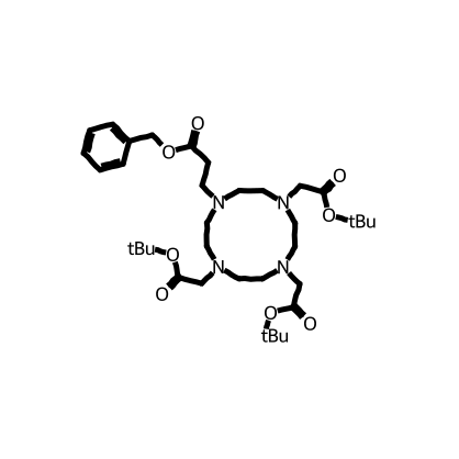 CC(C)(C)OC(=O)CN1CCN(CCC(=O)OCc2ccccc2)CCN(CC(=O)OC(C)(C)C)CCN(CC(=O)OC(C)(C)C)CC1